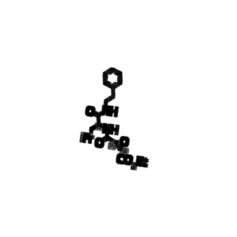 CCOC(=O)[C@H]1O[C@@H]1C(=O)N[C@@H](CC(C)C)C(=O)NCCc1ccccc1